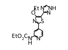 CCOC(=O)Nc1cc(-c2nc(OCC)c(-c3nc[nH]n3)s2)ccn1